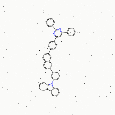 C1=Cc2c(c3ccccc3n2-c2cccc(-c3ccc4ccc(-c5ccc(-c6cc(-c7ccccc7)nc(-c7ccccc7)n6)cc5)cc4c3)c2)CC1